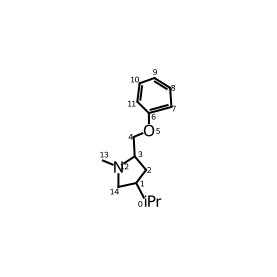 CC(C)C1CC(COc2ccccc2)N(C)C1